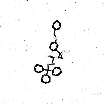 O=C(NOC(c1ccccc1)(c1ccccc1)c1ccccc1)[C@H]1C[C@@]1(C(=O)O)c1cccc(OCc2ccccc2)c1